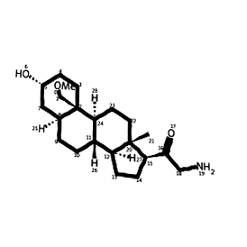 COC[C@]12CC[C@@H](O)C[C@@H]1CC[C@H]1[C@@H]3CC[C@H](C(=O)CN)[C@@]3(C)CC[C@@H]12